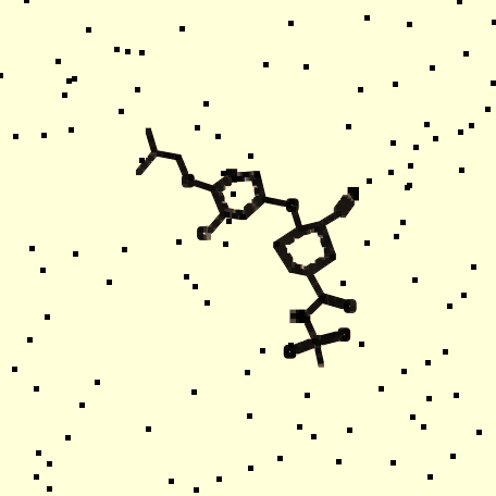 CC(C)COc1ncc(Oc2ccc(C(=O)NS(C)(=O)=O)cc2C#N)cc1Cl